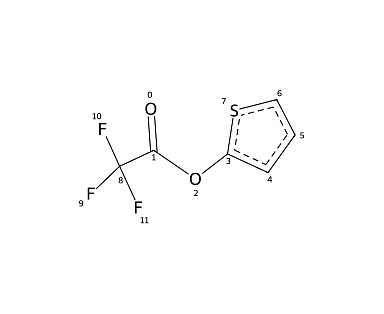 O=C(Oc1cccs1)C(F)(F)F